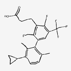 Cc1ccc(C2CC2)c(C)c1-c1cc(C(F)(F)F)c(F)c(CCC(=O)O)c1F